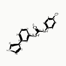 O=C(Nc1ccc(Cl)cc1)Nc1cccc(-c2ccsc2)c1